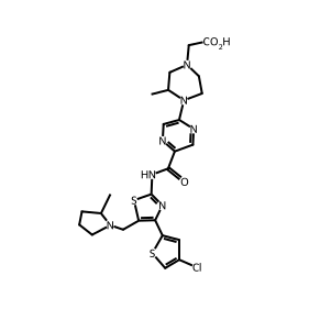 CC1CCCN1Cc1sc(NC(=O)c2cnc(N3CCN(CC(=O)O)CC3C)cn2)nc1-c1cc(Cl)cs1